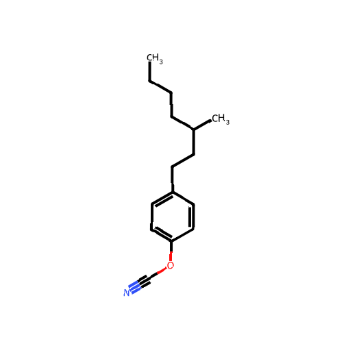 CCCCC(C)CCc1ccc(OC#N)cc1